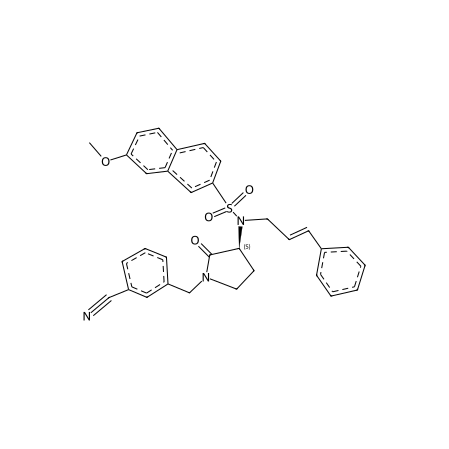 COc1ccc2ccc(S(=O)(=O)N(CC=Cc3ccccc3)[C@H]3CCN(Cc4cccc(C#N)c4)C3=O)cc2c1